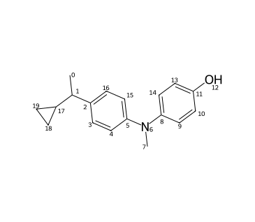 CC(c1ccc(N(C)c2ccc(O)cc2)cc1)C1CC1